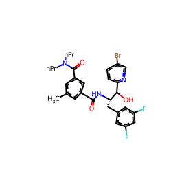 CCCN(CCC)C(=O)c1cc(C)cc(C(=O)N[C@@H](Cc2cc(F)cc(F)c2)C(O)c2ccc(Br)cn2)c1